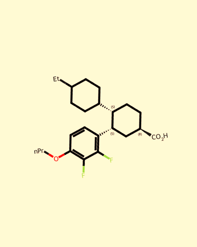 CCCOc1ccc([C@H]2C[C@H](C(=O)O)CC[C@H]2C2CCC(CC)CC2)c(F)c1F